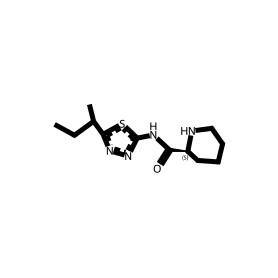 CCC(C)c1nnc(NC(=O)[C@@H]2CCCCN2)s1